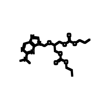 CCCOC(=O)OCC(COC(=O)OCCC)OCn1cnc2cnc(N(C)C)nc21